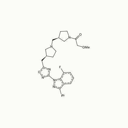 COCC(=O)N1CC[C@H](CN2CC[C@@H](Cc3nc(-n4nc(C(C)C)c5cccc(F)c54)no3)C2)C1